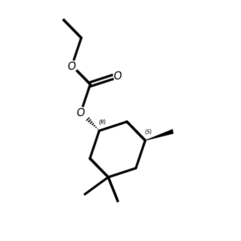 CCOC(=O)O[C@@H]1C[C@@H](C)CC(C)(C)C1